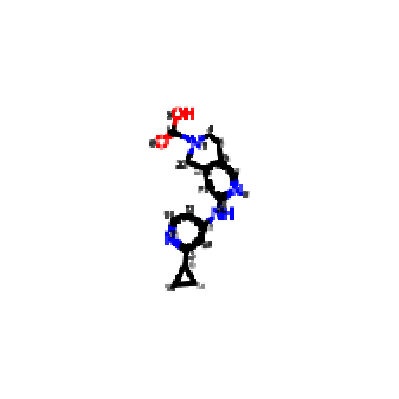 O=C(O)N1CCc2cnc(Nc3ccnc(C4CC4)c3)cc2C1